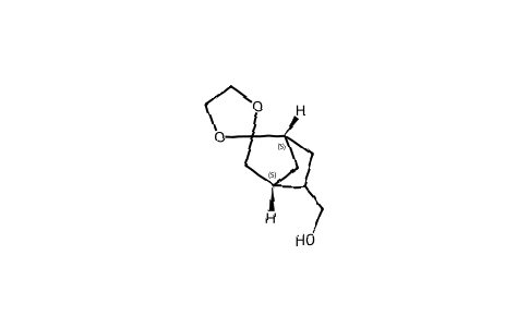 OCC1C[C@@H]2C[C@H]1CC21OCCO1